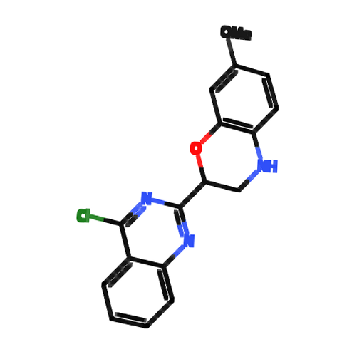 COc1ccc2c(c1)OC(c1nc(Cl)c3ccccc3n1)CN2